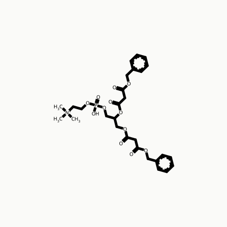 C[N+](C)(C)CCOP(=O)(O)OCC(COC(=O)CC(=O)OCc1ccccc1)OC(=O)CC(=O)OCc1ccccc1